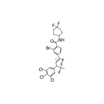 CC(F)(F)C(/C=C(\F)c1ccc(C(=O)NC2CCC(F)(F)CC2)c(Br)c1)c1cc(Cl)c(Cl)c(Cl)c1